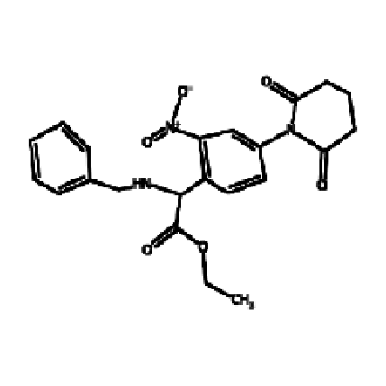 CCOC(=O)C(NCc1ccccc1)c1ccc(N2C(=O)CCCC2=O)cc1[N+](=O)[O-]